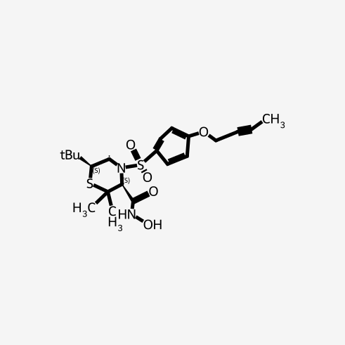 CC#CCOc1ccc(S(=O)(=O)N2[CH][C@H](C(C)(C)C)SC(C)(C)[C@@H]2C(=O)NO)cc1